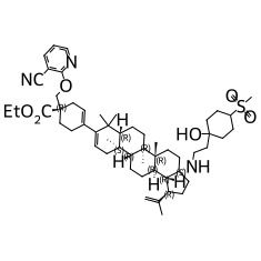 C=C(C)[C@@H]1CC[C@]2(NCCC3(O)CCC(S(C)(=O)=O)CC3)CC[C@]3(C)[C@H](CC[C@@H]4[C@@]5(C)CC=C(C6=CC[C@](COc7ncccc7C#N)(C(=O)OCC)CC6)C(C)(C)[C@@H]5CC[C@]43C)[C@@H]12